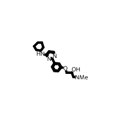 CNCC(O)COc1cccc(-c2nccc(NC3CCCCC3)n2)c1